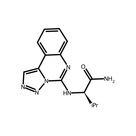 CC(C)[C@@H](Nc1nc2ccccc2c2cnnn12)C(N)=O